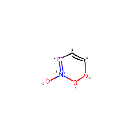 [O-][N+]1=PC=COO1